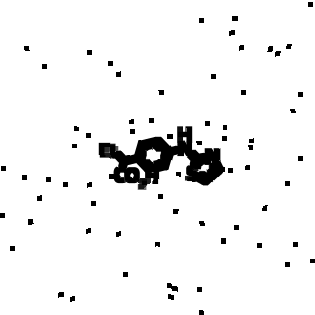 CCC(C(=O)O)c1ccc(Nc2nccs2)cc1